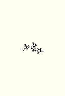 CC1=CC(O/C=C(/C(=O)OCc2ccc(Cl)cc2)c2ccccc2)OC1=O